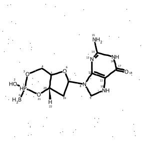 B[PH]1(O)OCC2OC(N3CNc4c3nc(N)[nH]c4=O)C[C@@H]2O1